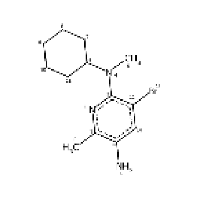 Cc1nc(N(C)C2CCCCC2)c(Br)cc1N